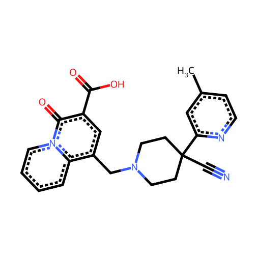 Cc1ccnc(C2(C#N)CCN(Cc3cc(C(=O)O)c(=O)n4ccccc34)CC2)c1